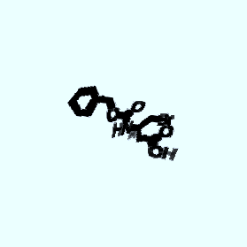 O=C(O)C[C@H](CBr)NC(=O)OCc1ccccc1